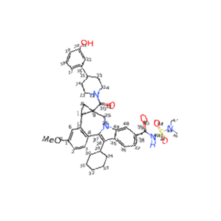 COc1ccc2c(c1)C1CC1(C(=O)N1CCC(c3cccc(O)c3)CC1)Cn1c-2c(C2CCCCC2)c2ccc(C(=O)NS(=O)(=O)N(C)C)cc21